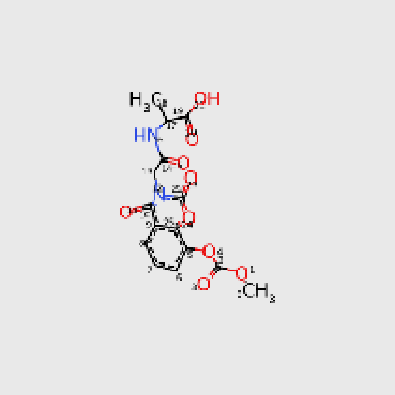 COC(=O)Oc1cccc2c(=O)n(CC(=O)NC(C)C(=O)O)c(=O)oc12